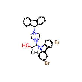 CC(O)C(N1CCN(C2c3ccccc3-c3ccccc32)CC1)n1c2ccc(Br)cc2c2cc(Br)ccc21